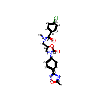 Cc1nc(-c2ccc(N3CC(CN(C)C(=O)c4ccc(Cl)cc4)OC3=O)cc2)no1